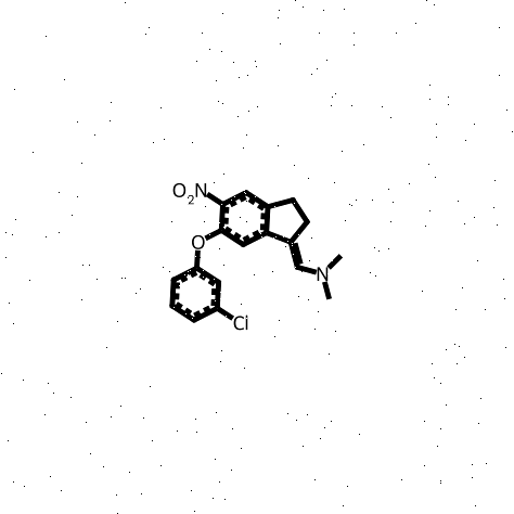 CN(C)C=C1CCc2cc([N+](=O)[O-])c(Oc3cccc(Cl)c3)cc21